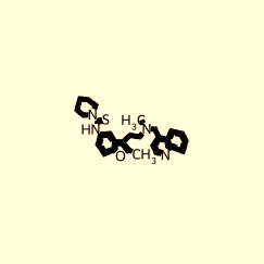 Cc1oc2ccc(NC(=S)N3CCCCC3)cc2c1CCN(C)Cc1ccnc2ccccc12